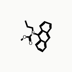 CCCN(C(=O)OC)c1c2ccccc2cc2ccccc12